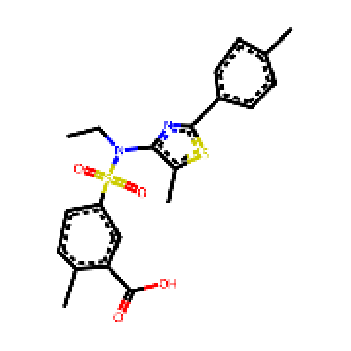 CCN(c1nc(-c2ccc(C)cc2)sc1C)S(=O)(=O)c1ccc(C)c(C(=O)O)c1